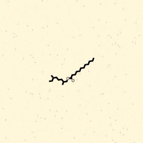 CCCCCCCCCCCC(=O)OCC(C)CCCC(C)CC